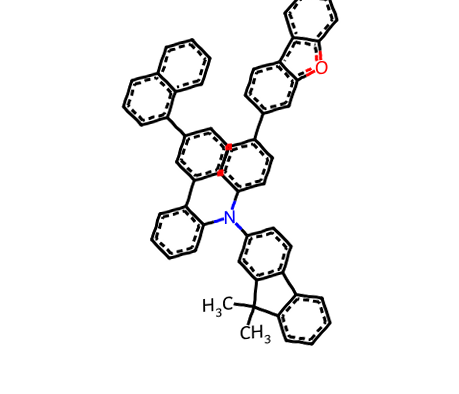 CC1(C)c2ccccc2-c2ccc(N(c3ccc(-c4ccc5c(c4)oc4ccccc45)cc3)c3ccccc3-c3cccc(-c4cccc5ccccc45)c3)cc21